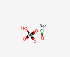 [Na+].[O-]Cl.[O]=[Mn](=[O])(=[O])[OH]